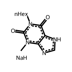 CCCCCCn1c(=O)c2[nH]cnc2n(C)c1=O.[NaH]